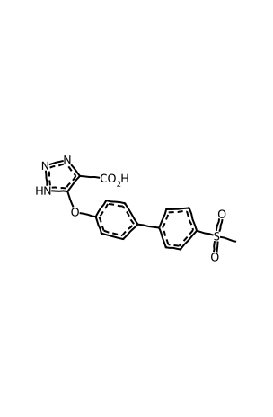 CS(=O)(=O)c1ccc(-c2ccc(Oc3[nH]nnc3C(=O)O)cc2)cc1